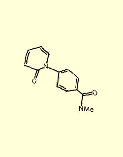 CNC(=O)c1ccc(-n2ccccc2=O)cc1